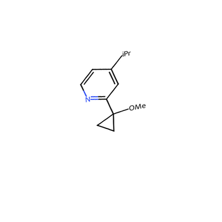 COC1(c2cc(C(C)C)ccn2)CC1